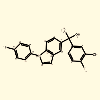 OC(c1ccc(F)c(Cl)c1)(c1ccc2c(ccn2-c2ccc(F)cc2)c1)C(F)(F)F